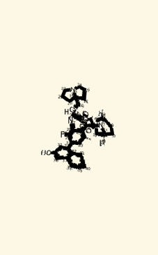 NS(=O)(=O)CC(=O)N1[C@@H]2CC[C@H]1CN(c1nc(OCC34CCCN3CCC4)nc3c(F)c(-c4cc(O)cc5ccccc45)ccc13)C2